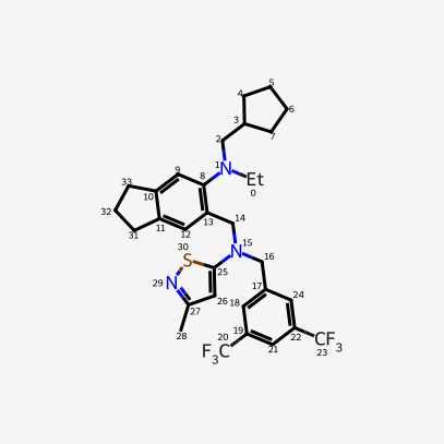 CCN(CC1CCCC1)c1cc2c(cc1CN(Cc1cc(C(F)(F)F)cc(C(F)(F)F)c1)c1cc(C)ns1)CCC2